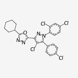 Clc1ccc(-c2c(Cl)c(-c3nnc(C4CCCCC4)o3)nn2-c2ccc(Cl)cc2Cl)cc1